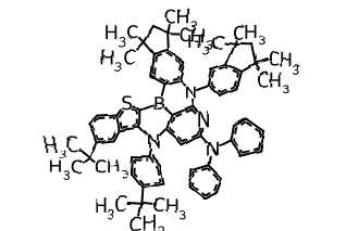 CC(C)(C)c1ccc(N2c3cc(N(c4ccccc4)c4ccccc4)nc4c3B(c3cc5c(cc3N4c3ccc4c(c3)C(C)(C)CC4(C)C)C(C)(C)CC5(C)C)c3sc4ccc(C(C)(C)C)cc4c32)cc1